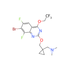 CN(C)CC1(COc2nc(OCC(F)(F)F)c3cc(F)c(Br)c(F)c3n2)CC1